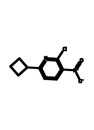 O=[N+]([O-])c1ccc(C2CCC2)nc1Cl